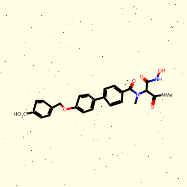 CNC(=O)C(C(=O)NO)N(C)C(=O)c1ccc(-c2ccc(OCc3ccc(C(=O)O)cc3)cc2)cc1